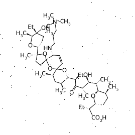 CC[C@@H](C(=O)[C@@H](C)[C@@H](O)[C@H](C)[C@@H]1O[C@@H]([C@@H](CC)C(=O)O)CC[C@@H]1C)[C@H]1OC2(C=C[C@@H](NCCC[N+](C)(C)C)[C@]3(CC[C@@](C)([C@H]4CC[C@](O)(CC)[C@H](C)O4)O3)O2)[C@H](C)C[C@@H]1C